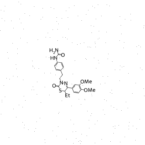 CCC1SC(=O)N(CCc2ccc(NC(N)=O)cc2)N=C1c1ccc(OC)c(OC)c1